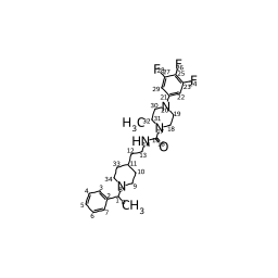 CC(c1ccccc1)N1CCC(CCNC(=O)N2CCN(c3cc(F)c(F)c(F)c3)C[C@H]2C)CC1